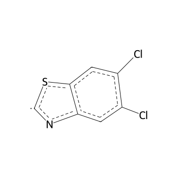 Clc1cc2n[c]sc2cc1Cl